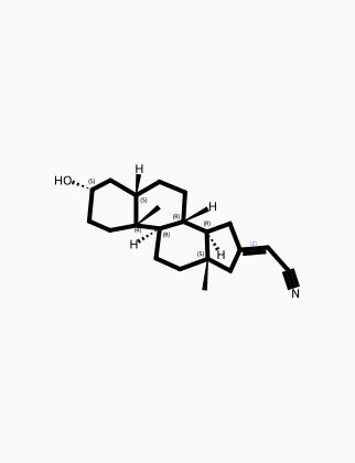 C[C@@]12CC[C@@H]3[C@H](CC[C@H]4C[C@@H](O)CC[C@]43C)[C@H]1C/C(=C/C#N)C2